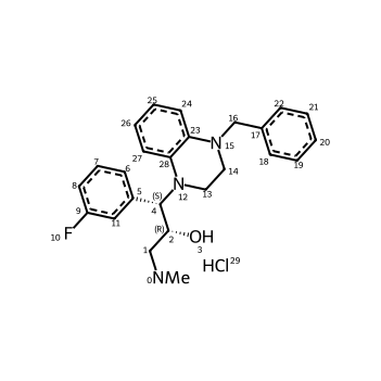 CNC[C@@H](O)[C@H](c1cccc(F)c1)N1CCN(Cc2ccccc2)c2ccccc21.Cl